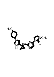 CC1CCC(N2C=C(C3(Nc4nccc(N5CCN(C)C5=O)n4)CC3)NC2)CC1